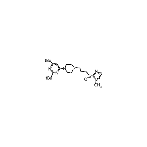 Cn1cnnc1[S+]([O-])CCCN1CCN(c2cc(C(C)(C)C)nc(C(C)(C)C)n2)CC1